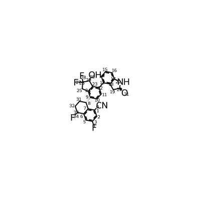 N#Cc1cc(F)cc2c1[C@@H](c1ccc(-c3cccc4c3CC(=O)N4)c3c1CC(F)(F)[C@H]3O)CC[C@@H]2F